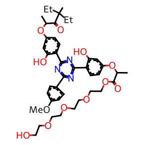 CCC(C)(CC)C(=O)C(C)Oc1ccc(-c2nc(-c3ccc(OC)cc3)nc(-c3ccc(OC(C)C(=O)OCCOCCOCCOCCO)cc3O)n2)c(O)c1